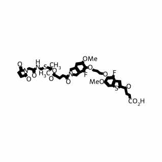 COc1cc2c(c(F)c1OCCCOc1c(OC)cc3sc(C(=O)CCC(=O)O)cc3c1F)CN(C(=O)CCC(=O)OC(C)(C)SCNC(=O)CN1C(=O)C=CC1=O)C2